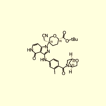 Cc1cc(Nc2nn([C@]3(CC#N)CC[C@@H](C(=O)OC(C)(C)C)OC3)c3cc[nH]c(=O)c23)ccc1C(=O)N1C[C@@H]2C[C@H]1CO2